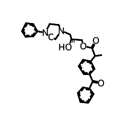 CC(C(=O)OC[C@@H](O)CN1CCN(c2ccccc2)CC1)c1cccc(C(=O)c2ccccc2)c1